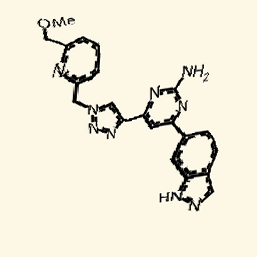 COCc1cccc(Cn2cc(-c3cc(-c4ccc5cn[nH]c5c4)nc(N)n3)nn2)n1